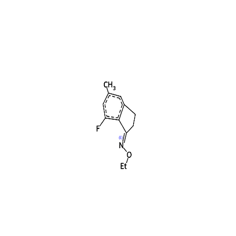 CCO/N=C1\CCc2cc(C)cc(F)c21